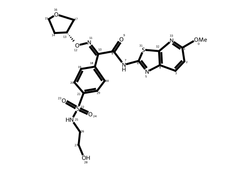 COc1ccc2nc(NC(=O)/C(=N/O[C@@H]3CCOC3)c3ccc(S(=O)(=O)NCCO)cc3)sc2n1